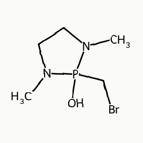 CN1CCN(C)[P]1(O)CBr